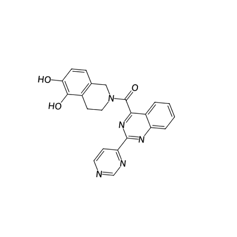 O=C(c1nc(-c2ccncn2)nc2ccccc12)N1CCc2c(ccc(O)c2O)C1